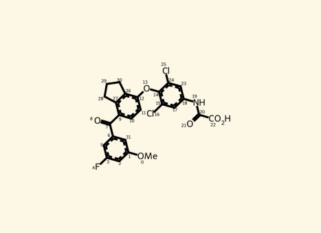 COc1cc(F)cc(C(=O)c2ccc(Oc3c(Cl)cc(NC(=O)C(=O)O)cc3Cl)c3c2CCC3)c1